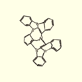 c1ccc2c(c1)B1C3=C(c4ccccc41)N1C4=C5B(c6ccccc6B5c5cccc(c51)B32)c1ccccc14